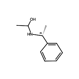 CC(O)N[C@H](C)c1ccccc1